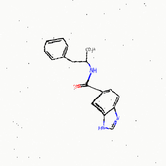 O=C(NC(Cc1ccccc1)C(=O)O)c1ccc2nc[nH]c2c1